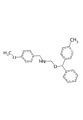 COc1ccc(CNCOC(c2ccccc2)c2ccc(C)cc2)cc1